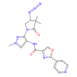 Cn1cc(NC(=O)c2coc(-c3c[c]ncc3)n2)c(N2CC(N=[N+]=[N-])C(C)(C)C2=O)n1